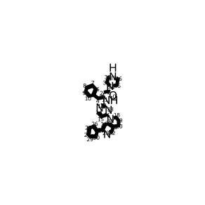 O=C(C[C@@H](Cc1ccccc1)Nc1nccc(N2CCCc3cnc(-c4ccccc4)cc32)n1)N1CCNCC1